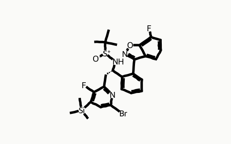 CC(C)(C)[S+]([O-])N[C@@H](Cc1nc(Br)cc([Si](C)(C)C)c1F)c1ccccc1-c1noc2c(F)cccc12